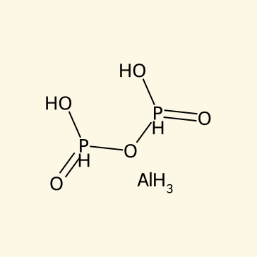 O=[PH](O)O[PH](=O)O.[AlH3]